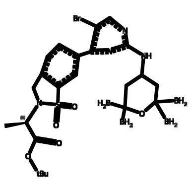 BC1(B)CC(Nc2ncc(Br)c(-c3ccc4c(c3)S(=O)(=O)N([C@H](C)C(=O)OC(C)(C)C)C4)n2)CC(B)(B)O1